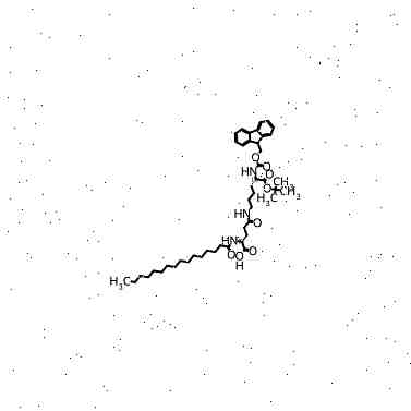 CCCCCCCCCCCCCCCC(=O)N[C@@H](CCC(=O)NCCCC[C@H](NC(=O)OCC1c2ccccc2-c2ccccc21)C(=O)OC(C)(C)C)C(=O)O